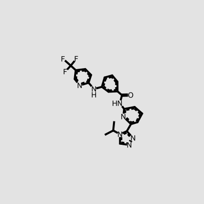 CC(C)n1cnnc1-c1cccc(NC(=O)c2cccc(Nc3ccc(C(F)(F)F)cn3)c2)n1